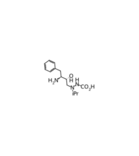 CC(C)N(C[C@@H](O)[C@@H](N)Cc1ccccc1)NC(=O)O